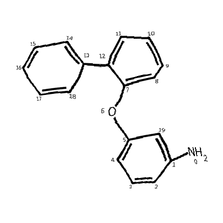 Nc1cccc(Oc2ccccc2-c2ccccc2)c1